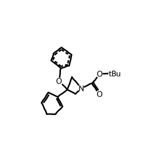 CC(C)(C)OC(=O)N1CC(Oc2ccccc2)(C2=CCCC=C2)C1